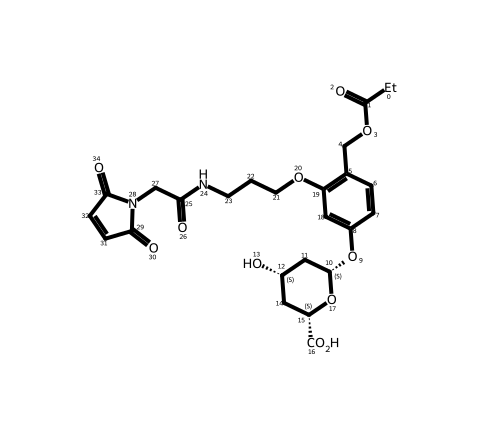 CCC(=O)OCc1ccc(O[C@H]2C[C@@H](O)C[C@@H](C(=O)O)O2)cc1OCCCNC(=O)CN1C(=O)C=CC1=O